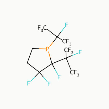 FC(F)(F)C(F)(P1CCC(F)(F)C1(F)C(F)(C(F)(F)F)C(F)(F)F)C(F)(F)F